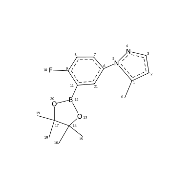 Cc1ccnn1-c1ccc(F)c(B2OC(C)(C)C(C)(C)O2)c1